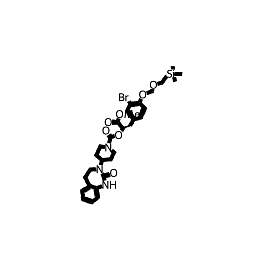 COC(=O)[C@@H](Cc1ccc(OCOCC[Si](C)(C)C)c(Br)c1)OC(=O)N1CCC(N2CCc3ccccc3NC2=O)CC1